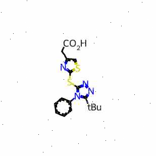 CC(C)(C)c1nnc(Sc2nc(CC(=O)O)cs2)n1-c1ccccc1